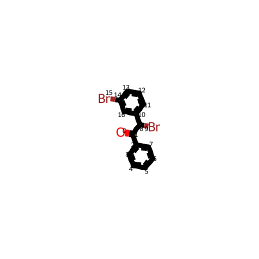 O=C(c1ccccc1)C(Br)c1cccc(Br)c1